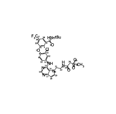 CC(C)(C)NC(=O)c1cc(Oc2ccc(Nc3ncnc4ccn(CCNC(=O)CS(C)(=O)=O)c34)cc2Cl)cc(C(F)(F)F)c1